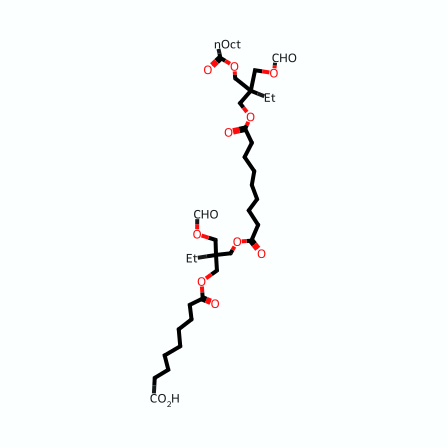 CCCCCCCCC(=O)OCC(CC)(COC=O)COC(=O)CCCCCCCC(=O)OCC(CC)(COC=O)COC(=O)CCCCCCCC(=O)O